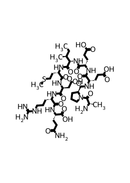 CC[C@H](C)[C@H](NC(=O)[C@H](CCC(=O)O)NC(=O)[C@H](CCC(=O)O)NC(=O)[C@@H]1CCCN1C(=O)[C@H](C)N)C(=O)N[C@@H](CCSC)C(=O)N[C@@H](CC(=O)O)C(=O)N[C@@H](CCCNC(=N)N)C(=O)N[C@@H](CCC(N)=O)C(=O)O